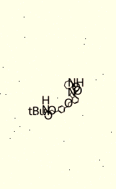 CC(C)(C)NC(=O)OCc1ccc(COc2cccc3c2CN([C@H]2CCCCNC2=O)C3=O)cc1